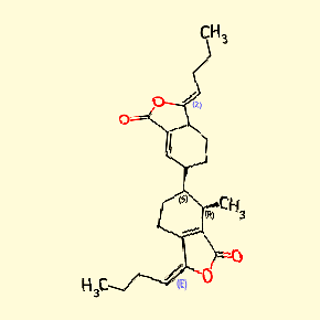 CCC/C=C1\OC(=O)C2=CC([C@@H]3CCC4=C(C(=O)O/C4=C/CCC)[C@@H]3C)CCC21